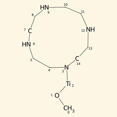 C[O][Ti][N]1CCNCCNCCNCC1